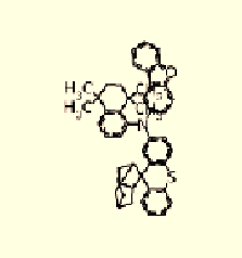 CC1(C)CCC(C)(C)c2c(N(c3ccc4c(c3)C3(c5ccccc5S4)C4CC5CC(C4)C3C5)c3ccc4oc5ccccc5c4c3)cccc21